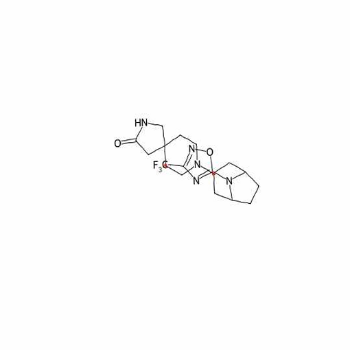 O=C1CC2(CCN(C3CC4CCC(C3)N4c3nc(C(F)(F)F)no3)CC2)CN1